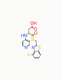 O=C(O)CC1Nc2ccncc2[SH](Cc2nc3c(F)cccc3s2)C1=O